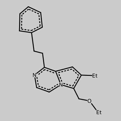 CCOCc1c(CC)cc2c(CCc3ccccc3)nccn12